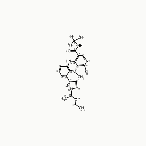 [2H]C([2H])([2H])NC(=O)c1cnc(Cl)cc1Nc1cccc(-c2ccn(C(C)OCC)n2)c1OC